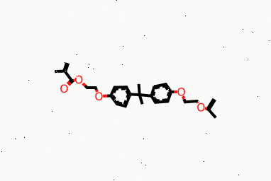 C=C(C)OCCOc1ccc(C(C)(C)c2ccc(OCCOC(=O)C(=C)C)cc2)cc1